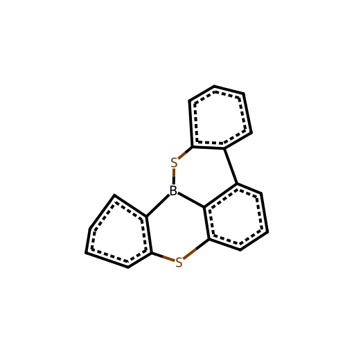 c1ccc2c(c1)Sc1cccc3c1B2Sc1ccccc1-3